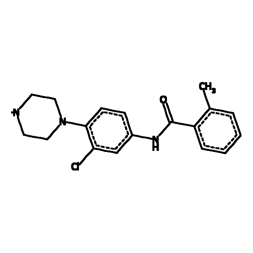 Cc1ccccc1C(=O)Nc1ccc(N2CC[N]CC2)c(Cl)c1